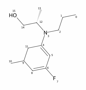 CCCN(C1=CC(F)=CC(C)C1)[C@@H](C)CO